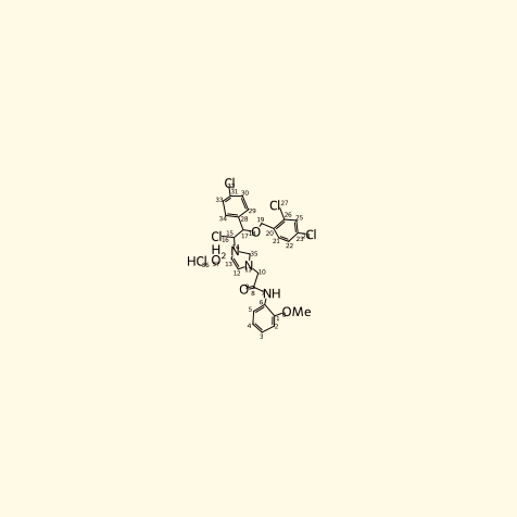 COc1ccccc1NC(=O)CN1C=CN(C(Cl)C(OCc2ccc(Cl)cc2Cl)c2ccc(Cl)cc2)C1.Cl.O